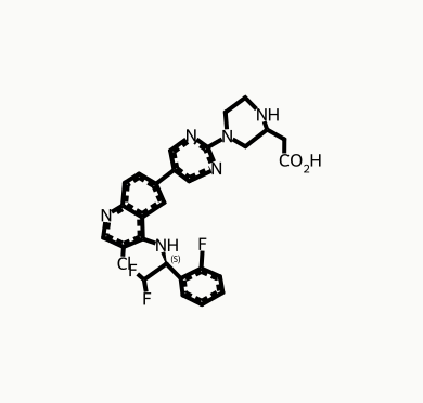 O=C(O)CC1CN(c2ncc(-c3ccc4ncc(Cl)c(N[C@@H](c5ccccc5F)C(F)F)c4c3)cn2)CCN1